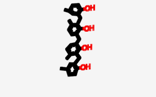 Cc1ccc(O)c(Cc2c(C)ccc(Cc3ccc(C)c(Cc4cc(C)ccc4O)c3O)c2O)c1